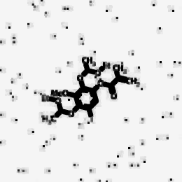 C=C(C)C(=O)Oc1cc(I)c(OC(C)OCC)c(OC)c1OC(C)OCC